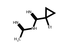 CCC1(C(=N)NC(C)=N)CC1